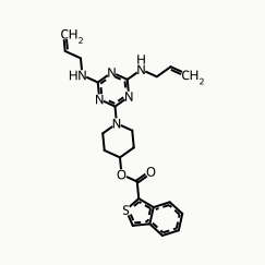 C=CCNc1nc(NCC=C)nc(N2CCC(OC(=O)c3scc4ccccc34)CC2)n1